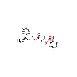 C=C(CCOC(=O)CCP(=O)(O)c1ccccc1)C(=O)OC